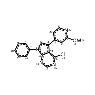 COc1cc(-c2cn(-c3ccccc3)c3ncnc(Cl)c23)ccn1